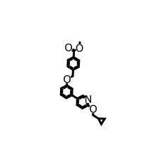 COC(=O)c1ccc(COc2cccc(-c3ccc(OCC4CC4)nc3)c2)cc1